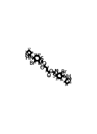 O=C(/C=C/C(=O)Oc1nc2c(Br)c(NC3=NCCC3)ccc2s1)Oc1nc2c(Br)c(NC3=NCCC3)ccc2s1